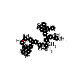 Cc1cc(C)cc(-c2ccc3c4ccc(-c5cc(C)cc(Cc6cc(C)cc(C)c6-c6ccc7c(c6)c6cc(-c8ccc(C)cc8C)ccc6n7-c6ccc(-c7ccc(C(F)(F)F)cc7)c(-c7nc(-c8ccccc8)nc(-c8ccccc8)n7)c6)c5)cc4n(-c4ccc(-c5ccc(C(F)(F)F)cc5)c(-c5nc(-c6ccccc6)nc(-c6ccccc6)n5)c4)c3c2)c1